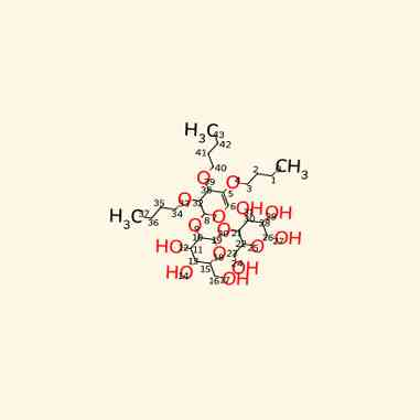 CCCCOC1=CO[C@@H](OC2C(O)[C@@H](O)C(CO)O[C@H]2O[C@@H]2C(CO)O[C@@H](O)C(O)C2O)C(OCCCC)C1OCCCC